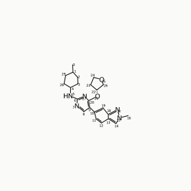 CC1CCC(Nc2ncc(-c3ccc4cn(C)nc4c3)c(O[C@@H]3CCOC3)n2)CC1